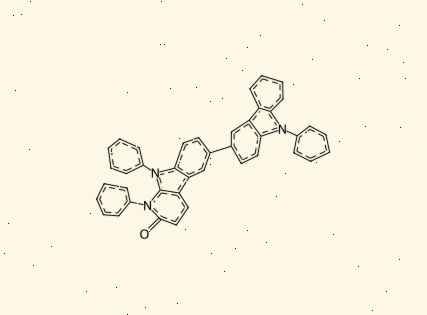 O=c1ccc2c3cc(-c4ccc5c(c4)c4ccccc4n5-c4ccccc4)ccc3n(-c3ccccc3)c2n1-c1ccccc1